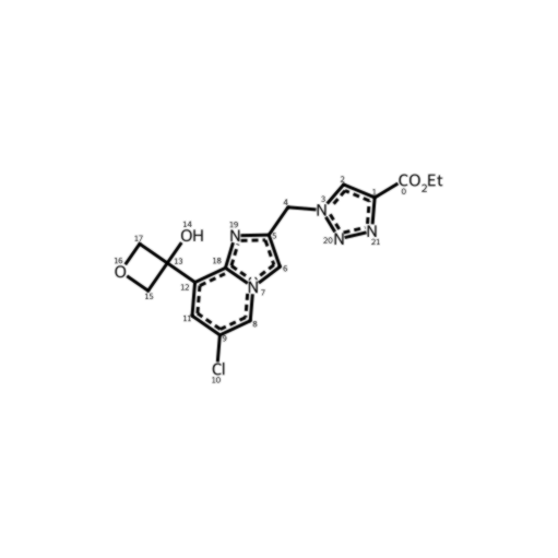 CCOC(=O)c1cn(Cc2cn3cc(Cl)cc(C4(O)COC4)c3n2)nn1